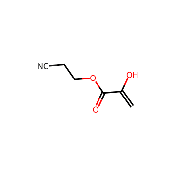 C=C(O)C(=O)OCCC#N